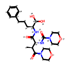 C[C@H](C(=O)N1CCOCC1)[C@@H](NC(=O)N1CCOCC1)C(=O)N[C@@H](CCCc1ccccc1)B(O)O